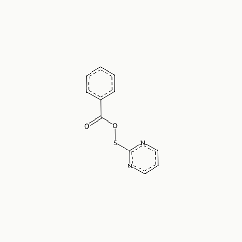 O=C(OSc1ncccn1)c1ccccc1